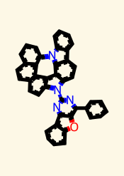 c1ccc(-c2nc(-n3c4ccc5ccc6cccc7c6c5c4c4c3ccc3c5ccccc5n7c34)nc3c2oc2ccccc23)cc1